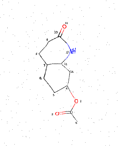 CC(=O)OC1CCC2CCC(=O)NC2C1